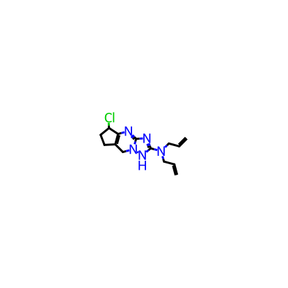 C=CCN(CC=C)C1=NC2=NC3=C(CCC3Cl)CN2N1